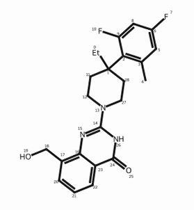 CCC1(c2c(C)cc(F)cc2F)CCN(c2nc3c(CO)cccc3c(=O)[nH]2)CC1